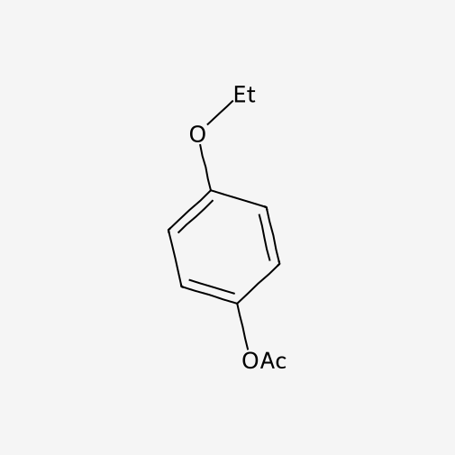 CCOc1ccc(OC(C)=O)cc1